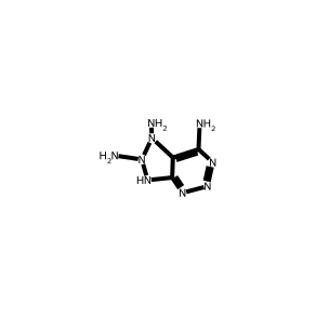 Nc1nnnc2c1N(N)N(N)N2